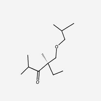 CC[C@](C)(COCC(C)C)C(=O)C(C)C